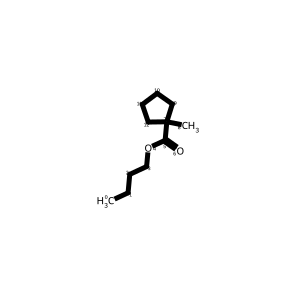 CCCCOC(=O)C1(C)CCCC1